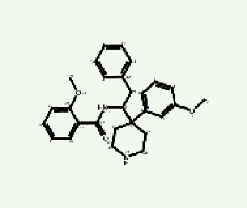 COc1cccc(C2(C(Cc3ccccc3)NC(=O)c3ccccc3OC)CCNCC2)c1